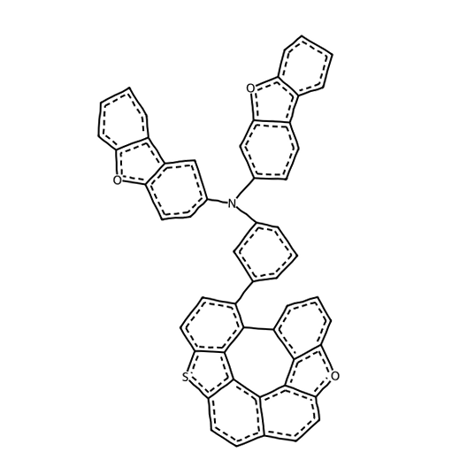 c1cc(-c2ccc3sc4ccc5ccc6oc7cccc8c7c6c5c4c3c2-8)cc(N(c2ccc3c(c2)oc2ccccc23)c2ccc3oc4ccccc4c3c2)c1